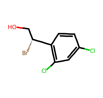 OC[C@@H](Br)c1ccc(Cl)cc1Cl